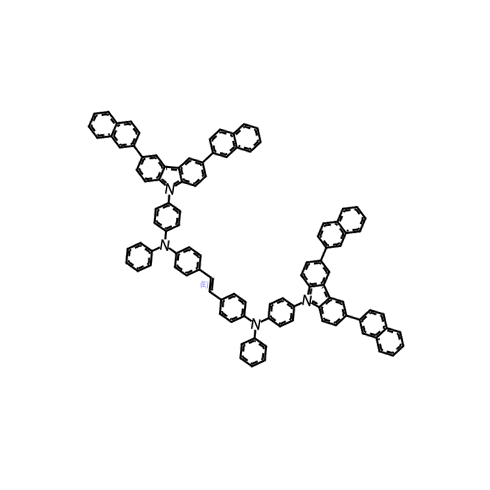 C(=C\c1ccc(N(c2ccccc2)c2ccc(-n3c4ccc(-c5ccc6ccccc6c5)cc4c4cc(-c5ccc6ccccc6c5)ccc43)cc2)cc1)/c1ccc(N(c2ccccc2)c2ccc(-n3c4ccc(-c5ccc6ccccc6c5)cc4c4cc(-c5ccc6ccccc6c5)ccc43)cc2)cc1